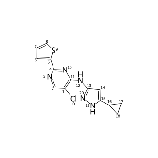 Clc1cnc(-c2cccs2)nc1Nc1cc(C2CC2)[nH]n1